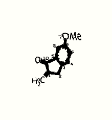 C=C1Cc2ccc(OC)cc2C1=O